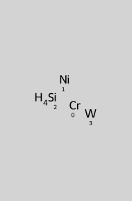 [Cr].[Ni].[SiH4].[W]